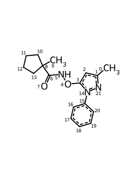 Cc1cc(ONC(=O)C2(C)CCCC2)n(-c2ccccc2)n1